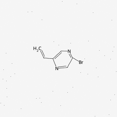 C=Cc1cnc(Br)cn1